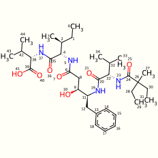 CC[C@H](C)[C@H](NC(=O)C[C@H](O)[C@H](Cc1ccccc1)NC(=O)[C@@H](NC(=O)C(C)(CC)CC)C(C)C)C(=O)N[C@H](C(=O)O)C(C)C